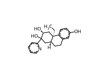 CC[C@@]12C[C@H](O)C(O)(c3ccccn3)C[C@H]1CCc1cc(O)ccc12